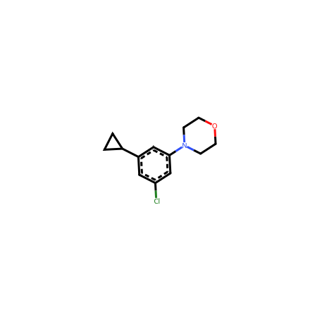 Clc1cc(C2CC2)[c]c(N2CCOCC2)c1